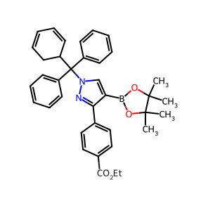 CCOC(=O)c1ccc(-c2nn(C(c3ccccc3)(c3ccccc3)C3C=CC=CC3)cc2B2OC(C)(C)C(C)(C)O2)cc1